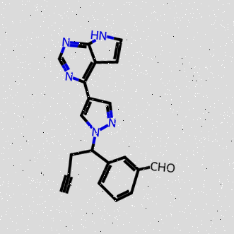 C#CCC(c1cccc(C=O)c1)n1cc(-c2ncnc3[nH]ccc23)cn1